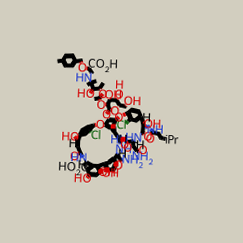 Cc1ccc(COC(CNC(C)(C)C(O)C(C)OC(C)OC2C(Oc3c4cc5cc3Oc3ccc(cc3Cl)[C@@H](O)CC(=O)N[C@@H](C(=O)O)c3cc(O)cc(O)c3-c3cc(ccc3O)[C@H](C(N)=O)NC(=O)[C@@H]5NC(=O)[C@H](CC(N)=O)NC(=O)C(NC(=O)CCC(C)C)[C@H](O)c3ccc(c(Cl)c3)O4)OC(CO)C(O)C2O)C(=O)O)cc1